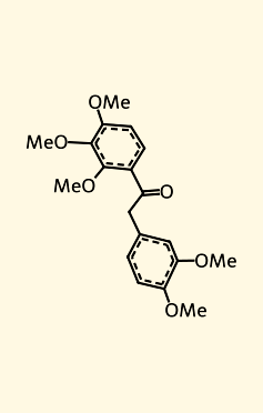 COc1ccc(CC(=O)c2ccc(OC)c(OC)c2OC)cc1OC